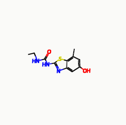 CCNC(=O)Nc1nc2cc(O)cc(C)c2s1